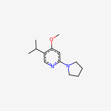 COc1cc(N2CCCC2)ncc1C(C)C